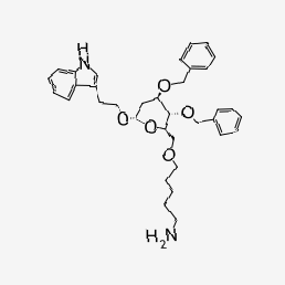 NCCCCCOC[C@H]1O[C@H](OCCc2c[nH]c3ccccc23)C[C@@H](OCc2ccccc2)[C@@H]1OCc1ccccc1